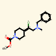 CN(CC(Cl)=C1CCN(C(=O)OC(C)(C)C)CC1)Cc1ccccc1